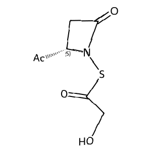 CC(=O)[C@@H]1CC(=O)N1SC(=O)CO